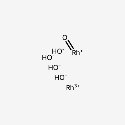 [OH-].[OH-].[OH-].[OH-].[O]=[Rh+].[Rh+3]